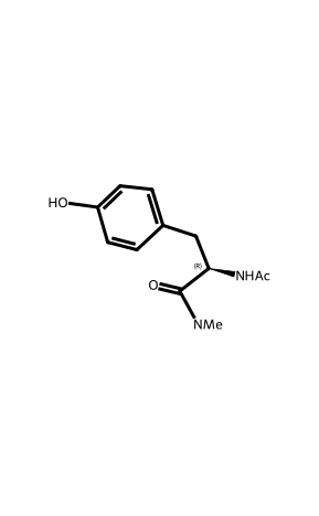 CNC(=O)[C@@H](Cc1ccc(O)cc1)NC(C)=O